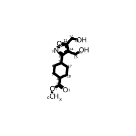 COC(=O)C1CCC(c2noc(CO)c2CO)CC1